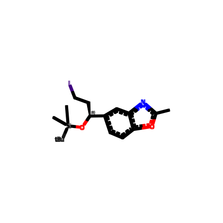 Cc1nc2cc([C@H](CCI)O[Si](C)(C)C(C)(C)C)ccc2o1